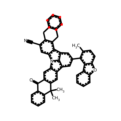 Cc1ccc2oc3ccccc3c2c1-c1cc2c3cc4c(cc3n3c5cc(C#N)c6c(c5c(c1)c23)C1c2ccccc2C6c2ccccc21)C(=O)c1ccccc1C4(C)C